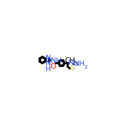 CC1(c2ccc(C(=O)Nc3nc4ccccc4[nH]3)cc2)CCSC(N)=N1